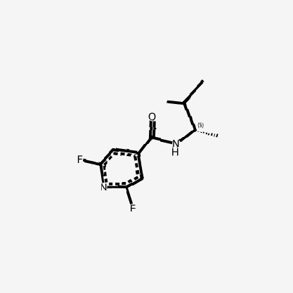 CC(C)[C@H](C)NC(=O)c1cc(F)nc(F)c1